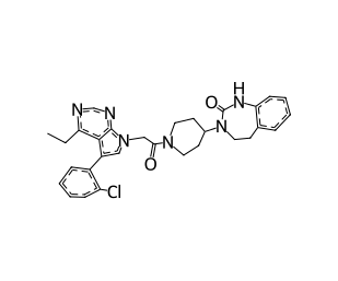 CCc1ncnc2c1c(-c1ccccc1Cl)cn2CC(=O)N1CCC(N2CCc3ccccc3NC2=O)CC1